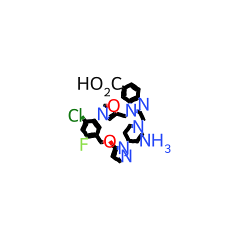 N.O=C(O)c1ccc2nc(CN3CCC(n4nccc4OCc4ccc(Cl)cc4F)CC3)n(Cc3cnco3)c2c1